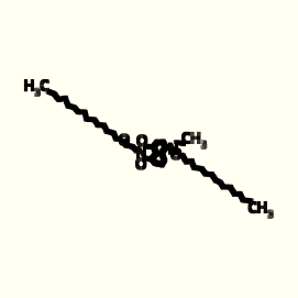 CCCCCCCCCCCCCCCCOCCCN1C(=O)c2cccc3c(N(CCC)OCCCCCCCCCCCCCCCC)ccc(c23)C1=O